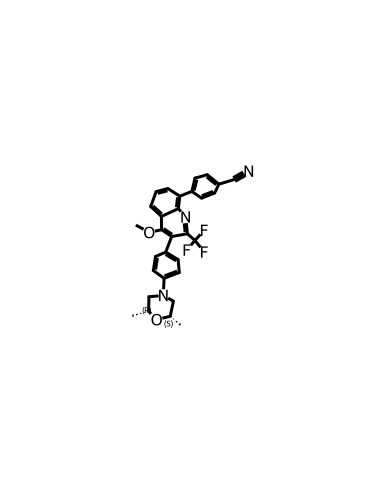 COc1c(-c2ccc(N3C[C@@H](C)O[C@@H](C)C3)cc2)c(C(F)(F)F)nc2c(-c3ccc(C#N)cc3)cccc12